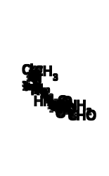 Cc1nc(-c2cn([C@H]3C[C@H](CNc4ccc5c(c4)C(=O)N(C(CCC=O)C(N)=O)C5=O)C3)nc2C2CC2)ccc1Cl